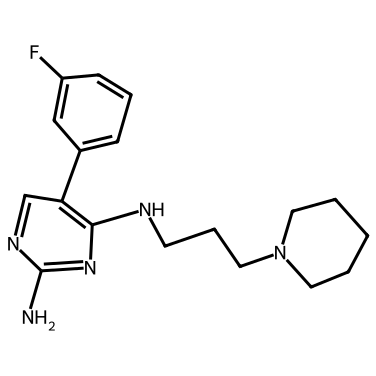 Nc1ncc(-c2cccc(F)c2)c(NCCCN2CCCCC2)n1